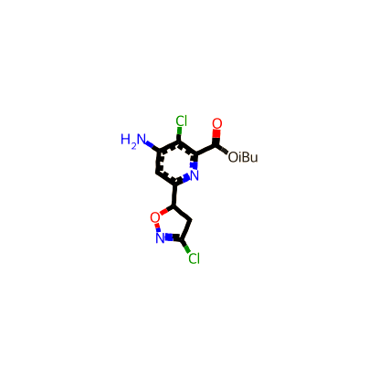 CC(C)COC(=O)c1nc(C2CC(Cl)=NO2)cc(N)c1Cl